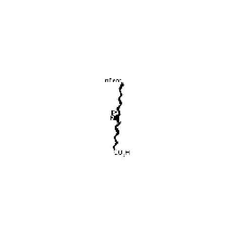 CCCCCC=CCC=CCC=CCC=CCCCC(=O)O.CCN